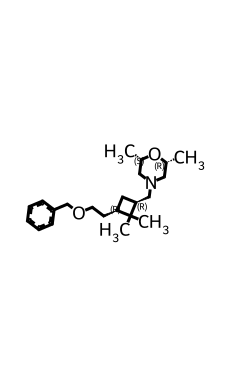 C[C@@H]1CN(C[C@@H]2C[C@H](CCOCc3ccccc3)C2(C)C)C[C@H](C)O1